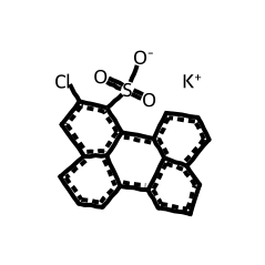 O=S(=O)([O-])c1c(Cl)cc2cccc3c4cccc5cccc(c1c23)c54.[K+]